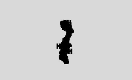 C=CC(=O)Nc1cc(Nc2nc(N3CCC[C@@H](N4CCn5c(cc6c5CC(C)(C)C6)C4=O)[C@@H]3[C@@H](C)O)cn(C)c2=O)ccc1N1CCN(C2CCN(c3cccc4c3CN(C3CCC(C)(OP(=O)(O)O)CC3)C4=O)[C@@H](C)C2)C[C@@H]1C